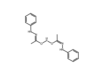 CC(=NNc1ccccc1)OPOC(C)=NNc1ccccc1